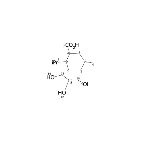 CC1CCC(C(C)C)C(C(=O)O)C1.OCC(O)CO